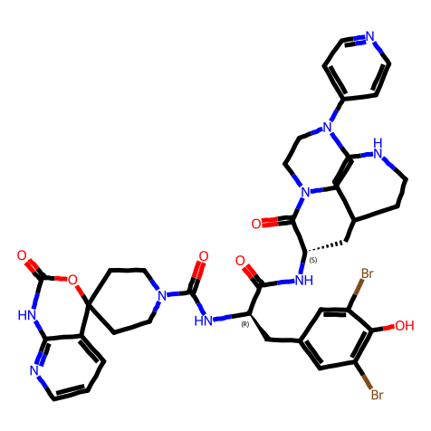 O=C1Nc2ncccc2C2(CCN(C(=O)N[C@H](Cc3cc(Br)c(O)c(Br)c3)C(=O)N[C@@H](CC3CCNCC3)C(=O)N3CCN(c4ccncc4)CC3)CC2)O1